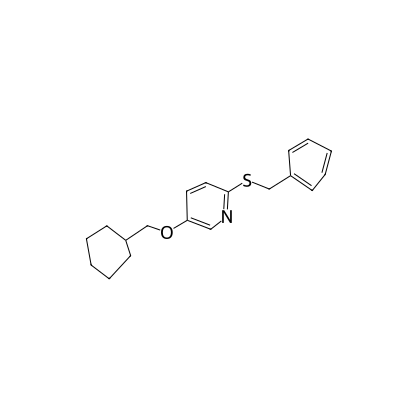 c1ccc(CSc2ccc(OCC3CCCCC3)cn2)cc1